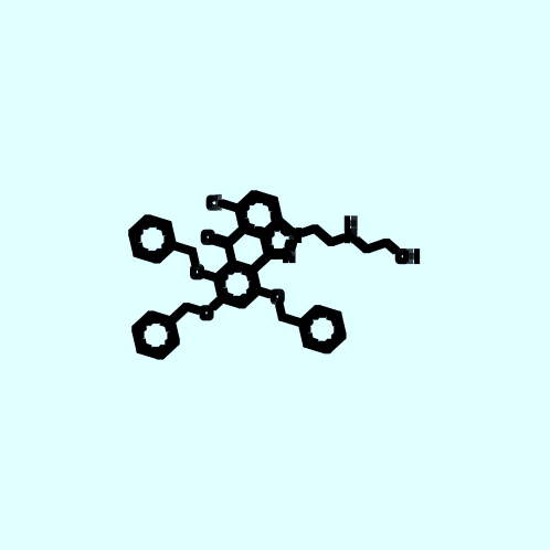 O=C1c2c(OCc3ccccc3)c(OCc3ccccc3)cc(OCc3ccccc3)c2-c2nn(CCNCCO)c3ccc(Cl)c1c23